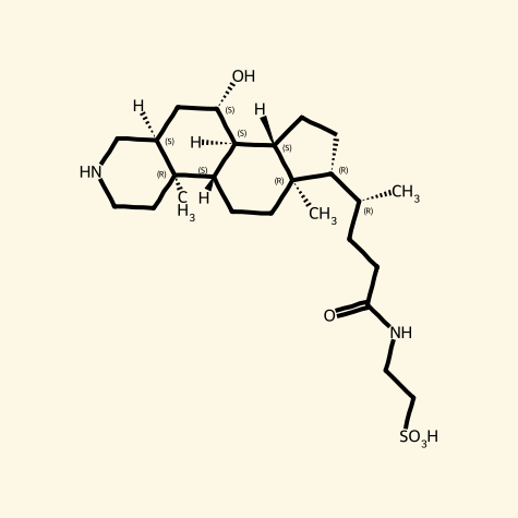 C[C@H](CCC(=O)NCCS(=O)(=O)O)[C@H]1CC[C@H]2[C@@H]3[C@@H](O)C[C@@H]4CNCC[C@]4(C)[C@H]3CC[C@]12C